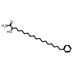 NC(=O)C(O)CCCCCCCCCCCCCCCCc1ccccc1